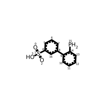 O=S(=O)(O)c1cccc(-c2ccccc2P)c1